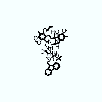 C=CCOc1c(C)c2c(c3c1CC1[C@@H]4c5c(cc(C)c(OC)c5O)C[C@H]([C@H](C#N)N1[C@H]3CNC(=O)[C@@H](CSCC1c3ccccc3-c3ccccc31)NC(=O)OC(C)(C)C)N4C)OCO2